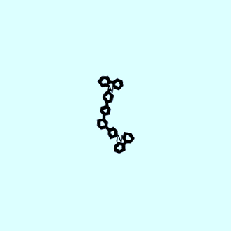 c1cc(-c2ccc(-c3ccc(-n4c5ccccc5c5ccccc54)cc3)cc2)cc(-c2ccc(-n3c4ccccc4c4ccccc43)cc2)c1